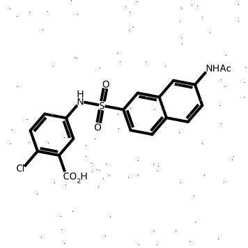 CC(=O)Nc1ccc2ccc(S(=O)(=O)Nc3ccc(Cl)c(C(=O)O)c3)cc2c1